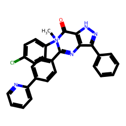 C[N+]1(c2ccc(Cl)cc2)C(=O)c2[nH]nc(-c3ccccc3)c2N=C1c1ccc(-c2ccccn2)cc1